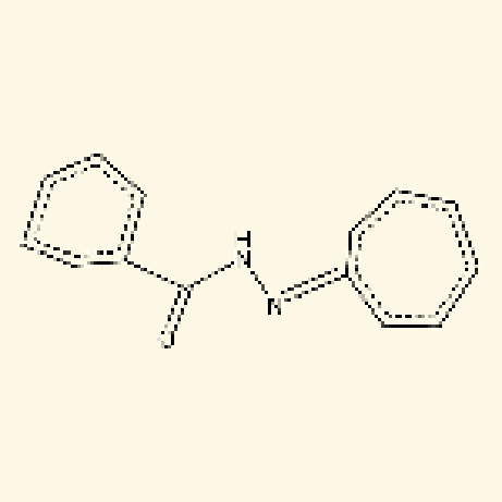 O=C(NN=c1cccccc1)c1ccccc1